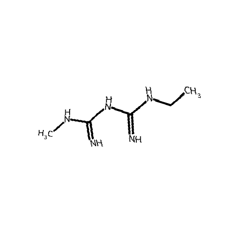 CCNC(=N)NC(=N)NC